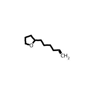 C=CCCCCC1CCCO1